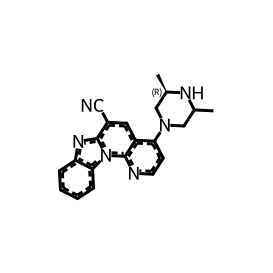 CC1CN(c2ccnc3c2cc(C#N)c2nc4ccccc4n23)C[C@@H](C)N1